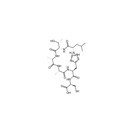 CC(C)C[C@H](N)C(=O)N[C@H](C(=O)N[C@@H](C)C(=O)N[C@@H](C)C(=O)N[C@@H](Cc1c[nH]cn1)C(=O)N[C@@H](CS)C(=O)O)[C@@H](C)O